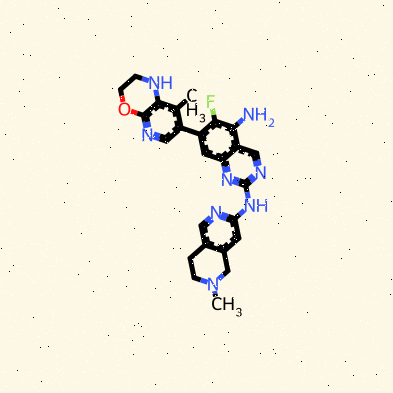 Cc1c(-c2cc3nc(Nc4cc5c(cn4)CCN(C)C5)ncc3c(N)c2F)cnc2c1NCCO2